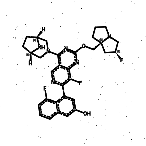 Oc1cc(-c2ncc3c(N4C[C@H]5CC[C@@H](C4)N5)nc(OC[C@@]45CCCN4C[C@H](F)C5)nc3c2F)c2c(F)cccc2c1